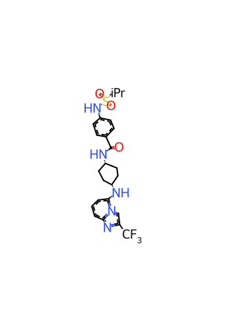 CC(C)S(=O)(=O)Nc1ccc(C(=O)N[C@H]2CC[C@@H](Nc3cccc4nc(C(F)(F)F)cn34)CC2)cc1